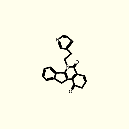 O=C1CC=Cc2c1c1c(n(CCc3cccnc3)c2=O)-c2ccccc2C1